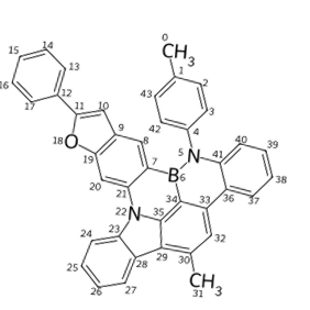 Cc1ccc(N2B3c4cc5cc(-c6ccccc6)oc5cc4-n4c5ccccc5c5c(C)cc(c3c54)-c3ccccc32)cc1